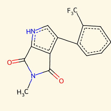 CN1C(=O)c2[nH]cc(-c3ccccc3C(F)(F)F)c2C1=O